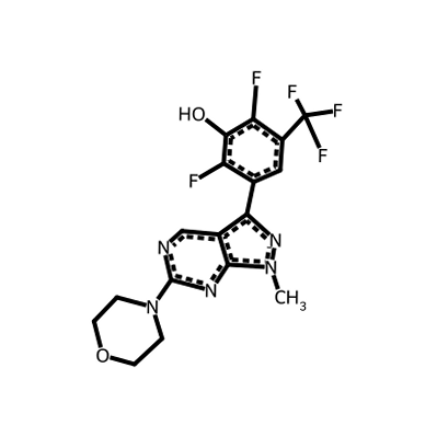 Cn1nc(-c2cc(C(F)(F)F)c(F)c(O)c2F)c2cnc(N3CCOCC3)nc21